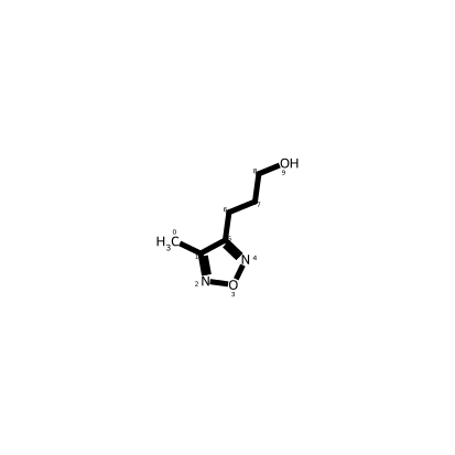 Cc1nonc1CCCO